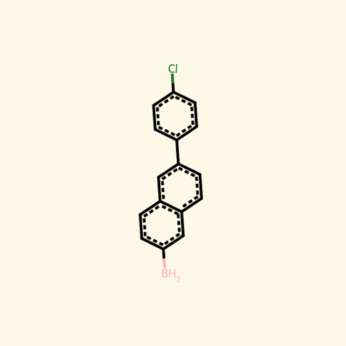 Bc1ccc2cc(-c3ccc(Cl)cc3)ccc2c1